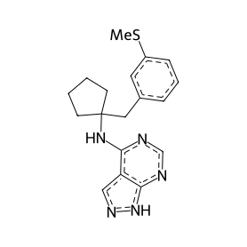 CSc1cccc(CC2(Nc3ncnc4[nH]ncc34)CCCC2)c1